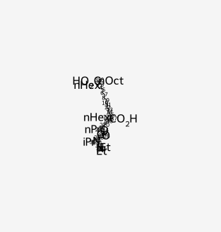 CCCCCCCCC(CCCCCC)(CCCCCCCCCCCCCC(CCCCCC)(CCCCC(CCC)OC(=O)OCCN(CCN(CC)CC)C(C)C)C(=O)O)C(=O)O